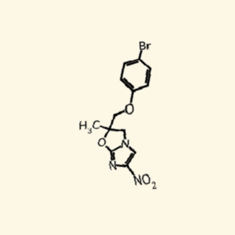 CC1(COc2ccc(Br)cc2)Cn2cc([N+](=O)[O-])nc2O1